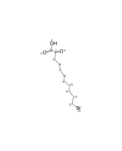 O=C(O)C(=O)CCCCCCCCCBr